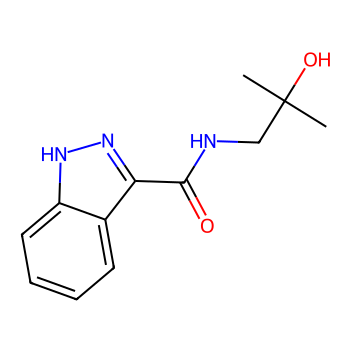 CC(C)(O)CNC(=O)c1n[nH]c2ccccc12